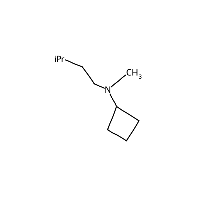 CC(C)CCN(C)C1CCC1